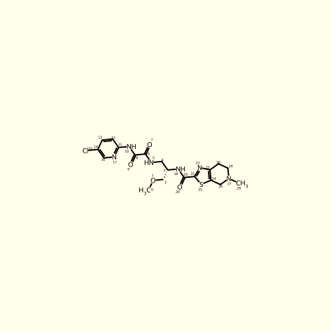 COC[C@H](CNC(=O)C(=O)Nc1ccc(Cl)cn1)NC(=O)c1nc2c(s1)CN(C)CC2